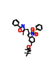 Cc1oc(-c2ccccc2)nc1Cc1cc2cc(CO[Si](C)(C)C(C)(C)C)ccc2n1S(=O)(=O)c1ccccc1